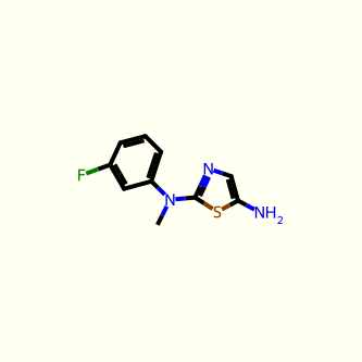 CN(c1cccc(F)c1)c1ncc(N)s1